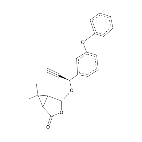 C#C[C@H](O[C@@H]1OC(=O)C2C1C2(C)C)c1cccc(Oc2ccccc2)c1